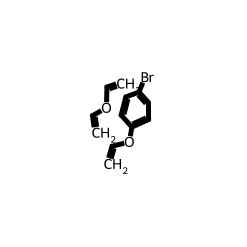 C=COC=C.C=COc1ccc(Br)cc1